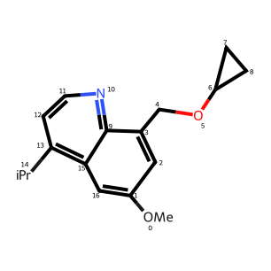 COc1cc(COC2CC2)c2nccc(C(C)C)c2c1